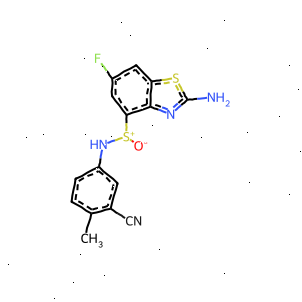 Cc1ccc(N[S+]([O-])c2cc(F)cc3sc(N)nc23)cc1C#N